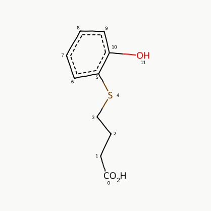 O=C(O)CCCSc1ccccc1O